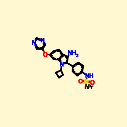 CCCS(=O)(=O)Nc1ccc(-c2c(N)c3ccc(Oc4cncnc4)cc3n2C2CCC2)cc1